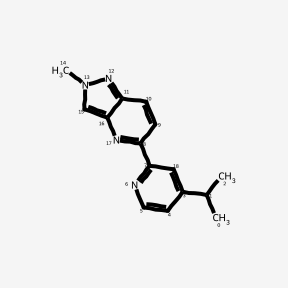 CC(C)c1ccnc(-c2ccc3nn(C)cc3n2)c1